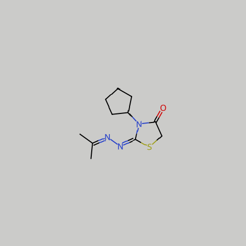 CC(C)=NN=C1SCC(=O)N1C1CCCC1